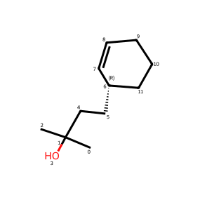 CC(C)(O)CC[C@@H]1C=CCCC1